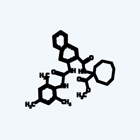 COC(=O)C1(NC(=O)c2cc3ccccc3cc2NC(=O)Nc2c(C)cc(C)cc2C)CCCCCCC1